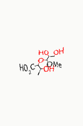 COC(OC(C(=O)O)[C@H](C)O)[C@@H](O)CO